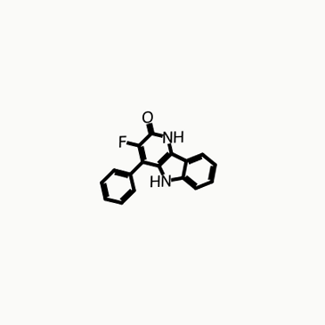 O=c1[nH]c2c([nH]c3ccccc32)c(-c2ccccc2)c1F